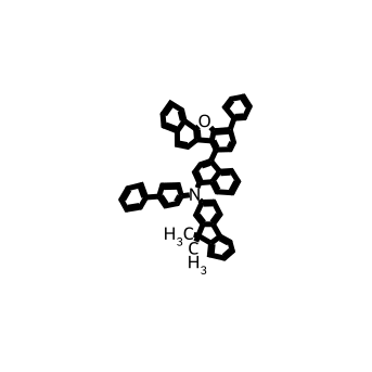 CC1(C)c2ccccc2-c2ccc(N(c3ccc(-c4ccccc4)cc3)c3ccc(-c4ccc(-c5ccccc5)c5oc6c7ccccc7ccc6c45)c4ccccc34)cc21